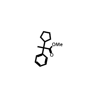 COC(=O)C(C)(c1ccccc1)C1CCCC1